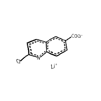 O=C([O-])c1ccc2nc(Cl)ccc2c1.[Li+]